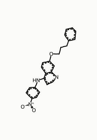 O=[N+]([O-])c1ccc(Nc2ccnc3cc(OCCCc4ccccc4)ccc23)cc1